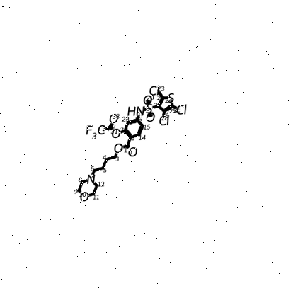 O=C(OCCCCN1CCOCC1)c1ccc(NS(=O)(=O)c2c(Cl)sc(Cl)c2Cl)cc1OC(=O)C(F)(F)F